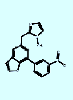 Cn1ccnc1Cc1cc(-c2cccc([N+](=O)[O-])c2)c2occc2c1